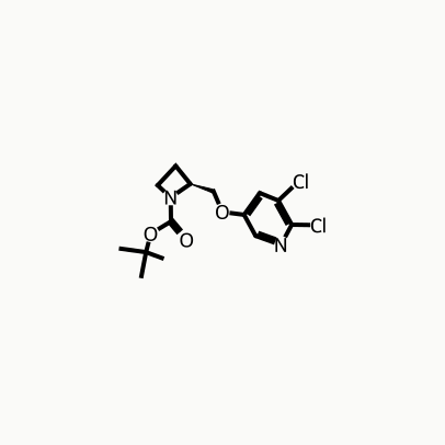 CC(C)(C)OC(=O)N1CC[C@H]1COc1cnc(Cl)c(Cl)c1